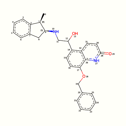 C[C@@H]1c2ccccc2C[C@@H]1NCC(O)c1ccc(OCc2ccccc2)c2[nH]c(=O)ccc12